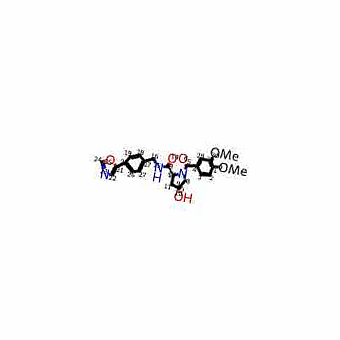 COc1ccc(C(=O)N2C[C@H](O)C[C@H]2C(=O)NCc2ccc(-c3cnco3)cc2)cc1OC